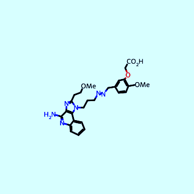 COCCc1nc2c(N)nc3ccccc3c2n1CCC/N=N/Cc1ccc(OC)c(OCC(=O)O)c1